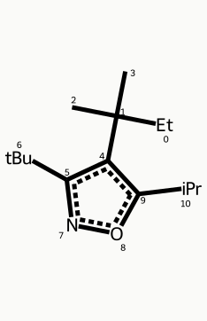 CCC(C)(C)c1c(C(C)(C)C)noc1C(C)C